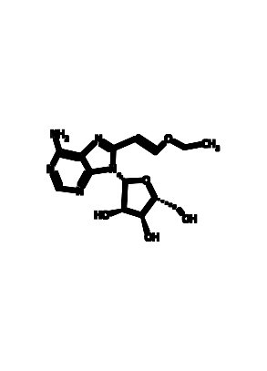 CCOC=Cc1nc2c(N)ncnc2n1[C@@H]1O[C@H](CO)[C@@H](O)[C@H]1O